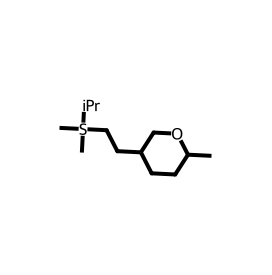 CC1CCC(CCS(C)(C)C(C)C)CO1